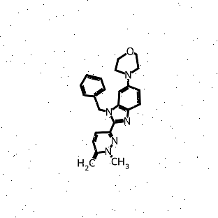 C=C1C=CC(c2nc3ccc(N4CCOCC4)cc3n2Cc2ccccc2)=NN1C